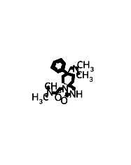 CN(C)C[C@]1(c2ccccc2)CC[C@]2(CC1)CNC(=O)N2CC(=O)N(C)C